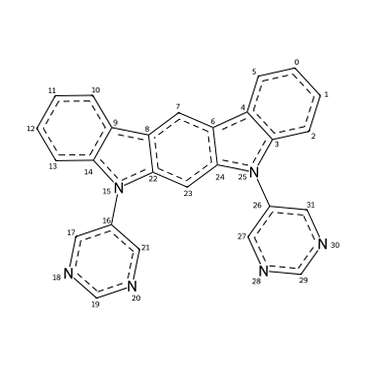 c1ccc2c(c1)c1cc3c4ccccc4n(-c4cncnc4)c3cc1n2-c1cncnc1